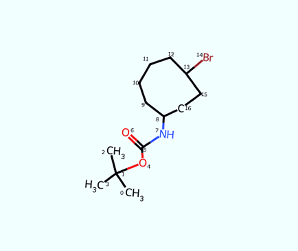 CC(C)(C)OC(=O)NC1CCCCC(Br)CC1